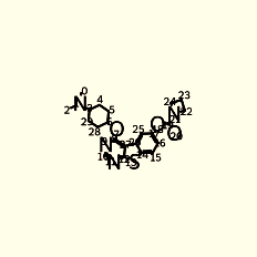 CN(C)[C@H]1CC[C@H](Oc2ncnc3sc4ccc(OC(=O)N5CCC5)cc4c23)CC1